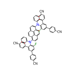 [C-]#[N+]c1ccc(-c2cc(-c3ccc(C#N)cc3)cc(F)c2N(c2ccccc2)c2ccc3ccc4c(N(c5ccccc5)c5c(F)cc(-c6ccc(C#N)cc6)cc5-c5ccc(C#N)cc5)ccc5ccc2c3c54)cc1